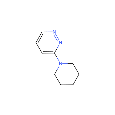 c1cnnc(N2CCCCC2)c1